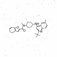 Cc1ccc2nc(C(C)(C)C)cc(NC3CCC(N(C)C(=O)c4cc5c(o4)C=CCC5)CC3)c2c1